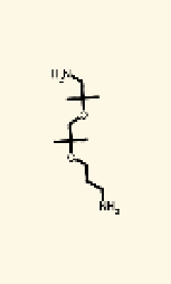 CC(C)(CN)OCC(C)(C)OCCCN